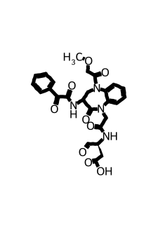 COCC(=O)N1CC(NC(=O)C(=O)c2ccccc2)C(=O)N(CC(=O)N[C@H](C=O)CC(=O)O)c2ccccc21